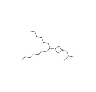 CCCCCCCC(CCCCCC)C1CN(CC(F)F)C1